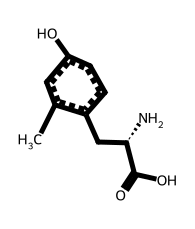 Cc1cc(O)ccc1C[C@H](N)C(=O)O